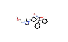 COCC[n+]1ccn([C@@H]2CC[C@H](C(C(N)=O)(c3ccccc3)c3ccccc3)C2)c1C.[Br-]